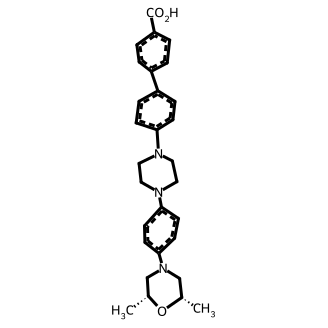 C[C@@H]1CN(c2ccc(N3CCN(c4ccc(-c5ccc(C(=O)O)cc5)cc4)CC3)cc2)C[C@H](C)O1